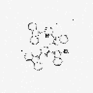 CCc1c(-c2c(C)n(-c3cccc(-n4c5ccccc5c5ccccc54)n3)c3ccccc23)n(-c2cccc(-n3c4ccccc4c4ccccc43)n2)c2ccccc12